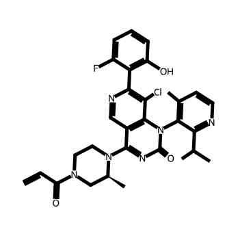 C=CC(=O)N1CCN(c2nc(=O)n(-c3c(C)ccnc3C(C)C)c3c(Cl)c(-c4c(O)cccc4F)ncc23)[C@@H](C)C1